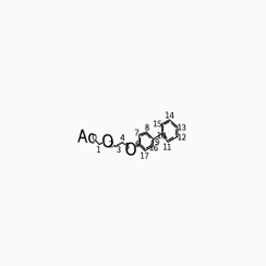 CC(=O)COCCOc1ccc(-c2ccccc2)cc1